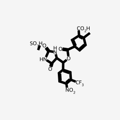 CS(=O)(=O)O.Cc1ccc(C(=O)OC(c2ccc([N+](=O)[O-])c(C(F)(F)F)c2)C2NC(=O)NC2=O)cc1C(=O)O